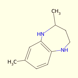 Cc1ccc2c(c1)NC(C)CCN2